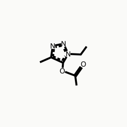 CCn1nnc(C)c1OC(C)=O